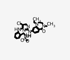 CCN1CCN(CC)c2cc(Nc3ncc(Cl)c(Nc4ccccc4CN[SH](=O)=O)n3)ccc2C1=O